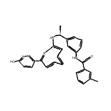 Cc1cccc(C(=O)Nc2cccc([C@H](C)NC3=C/C=C/C=C/C(c4ccc(O)nc4)=N\3)c2)c1